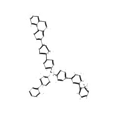 c1ccc(-c2ccc(N(c3ccc(-c4ccc(-c5ccc6c(ccc7ccccc76)c5)cc4)cc3)c3ccc(-c4ccc5oc6ccccc6c5c4)cc3)cc2)cc1